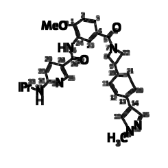 COc1ccc(C(=O)N2CC(c3ccc(-c4cnn(C)c4)cc3)C2)cc1NC(=O)c1ccc(NC(C)C)nc1